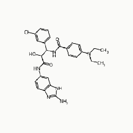 CCN(CC)c1ccc(C(=O)NC(c2cccc(Cl)c2)C(O)C(=O)Nc2ccc3nc(N)[nH]c3c2)cc1